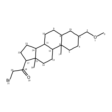 COCC1CCC2(C)C(CCC3C2CCC2(C)C(C(=O)CBr)CCC32)C1